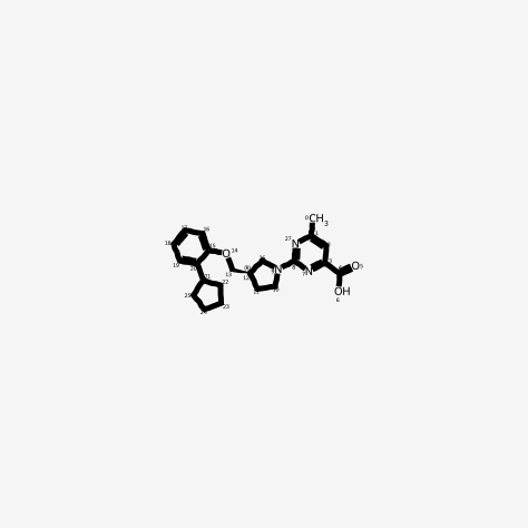 Cc1cc(C(=O)O)nc(N2CC[C@@H](COc3ccccc3C3CCCC3)C2)n1